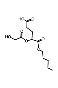 CCCCCOC(=O)C(CCC(=O)O)OC(=O)CO